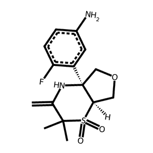 C=C1N[C@@]2(c3cc(N)ccc3F)COC[C@H]2S(=O)(=O)C1(C)C